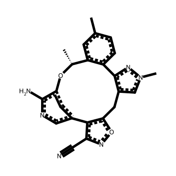 Cc1ccc2c(c1)[C@@H](C)Oc1cc(cnc1N)-c1c(C#N)noc1Cc1cn(C)nc1-2